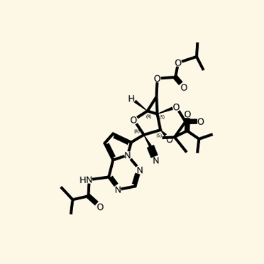 CC(C)OC(=O)OC1[C@H]2O[C@@](C#N)(c3ccc4c(NC(=O)C(C)C)ncnn34)[C@H](OC(=O)C(C)C)[C@@]12OC(=O)C(C)C